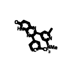 CNc1cc(-c2nc3ccc(=O)[nH]c3nc2-c2cccc(C(F)(F)F)c2)cc(C)n1